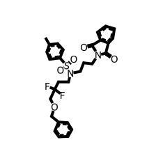 Cc1ccc(S(=O)(=O)N(CCCN2C(=O)c3ccccc3C2=O)CCC(F)(F)COCc2ccccc2)cc1